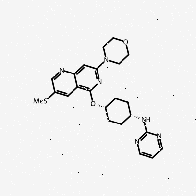 CSc1cnc2cc(N3CCOCC3)nc(O[C@H]3CC[C@@H](Nc4ncccn4)CC3)c2c1